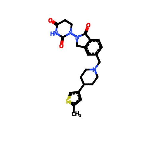 Cc1cc(C2CCN(Cc3ccc4c(c3)CN(N3CCC(=O)NC3=O)C4=O)CC2)cs1